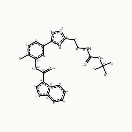 Cc1ccc(-c2noc(CCNC(=O)OC(C)(C)C)n2)cc1NC(=O)c1cnc2ccccn12